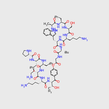 CC[C@H](C)[C@H](NC(=O)[C@H](Cc1c[nH]c2ccccc12)NC(=O)[C@H](CCCCN)NC(=O)[C@H](CO)NC(=O)[C@H](CC(C)C)NC(=O)[C@H](C)N)C(=O)NCC(=O)Oc1ccc(C(=O)[C@@H](NC(=O)[C@H](CCCCN)NC(=O)[C@H](CC(C)C)NC(=O)[C@H](CC(C)C)NC(=O)[C@H](CCCCN)NC(=O)[C@@H]2CCCN2)[C@@H](C)O)cc1